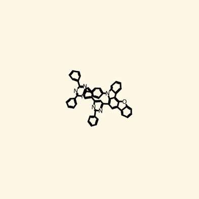 c1ccc(-c2cc(-c3cc4c5ccccc5oc4c4c5ccccc5n(-c5ccc(-c6nc(-c7ccccc7)nc(-c7ccccc7)n6)cc5)c34)nc(-c3ccccc3)n2)cc1